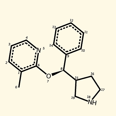 Cc1cccnc1O[C@@H](c1ccccc1)C1CCNC1